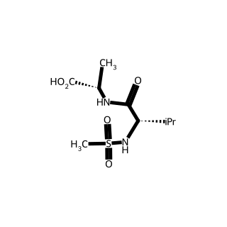 CC(C)[C@H](NS(C)(=O)=O)C(=O)N[C@@H](C)C(=O)O